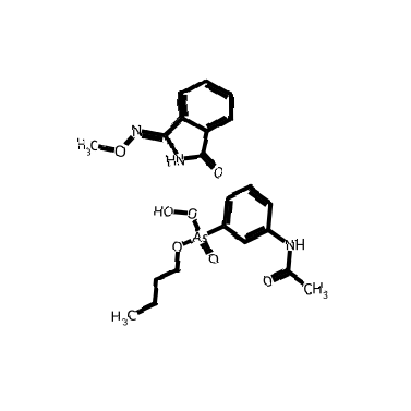 CCCCO[As](=O)(OO)c1cccc(NC(C)=O)c1.CON=C1NC(=O)c2ccccc21